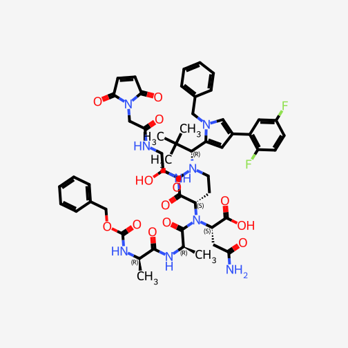 C[C@@H](NC(=O)OCc1ccccc1)C(=O)N[C@H](C)C(=O)N([C@@H](CC(N)=O)C(=O)O)[C@@H](CCN(C(=O)CO)[C@@H](c1cc(-c2cc(F)ccc2F)cn1Cc1ccccc1)C(C)(C)C)C(=O)NCCNC(=O)CN1C(=O)C=CC1=O